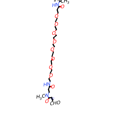 CC(C)C(C)NC(=O)CCOCCOCCOCCOCCOCCOCCOCCOCCNC(=O)CCN(C)C(=O)/C=C\C=O